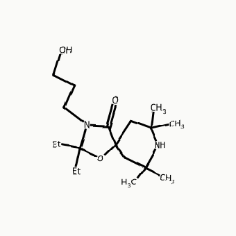 CCC1(CC)OC2(CC(C)(C)NC(C)(C)C2)C(=O)N1CCCO